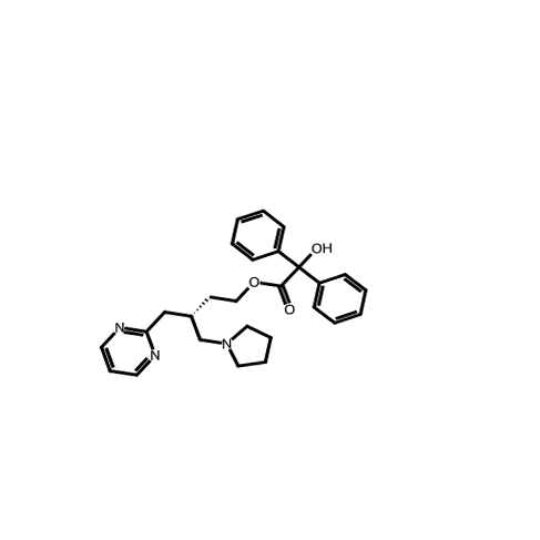 O=C(OCC[C@@H](Cc1ncccn1)CN1CCCC1)C(O)(c1ccccc1)c1ccccc1